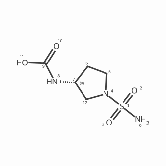 NS(=O)(=O)N1CC[C@@H](NC(=O)O)C1